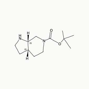 CC(C)(C)OC(=O)N1CC[C@@H]2CCN[C@@H]2C1